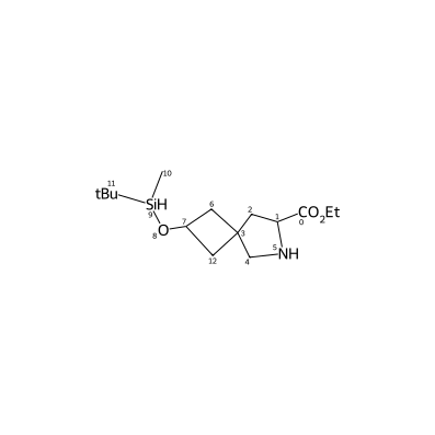 CCOC(=O)C1CC2(CN1)CC(O[SiH](C)C(C)(C)C)C2